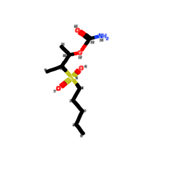 CCCCCS(=O)(=O)C(C)C(C)OC(N)=O